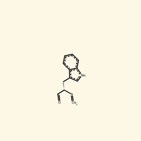 C=N[C@H](C=O)Cc1c[nH]c2ccccc12